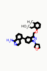 Cc1cccc(OCc2nn(C3CCOC3)c3ccc(-c4cccc5c(N)nccc45)cc23)c1CC(=O)O